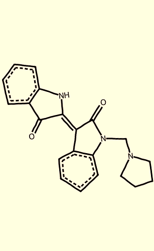 O=C1/C(=C2/C(=O)N(CN3CCCC3)c3ccccc32)Nc2ccccc21